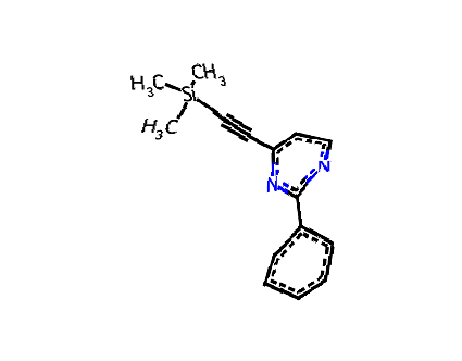 C[Si](C)(C)C#Cc1ccnc(-c2ccccc2)n1